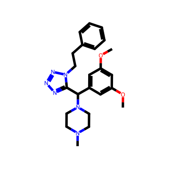 COc1cc(OC)cc(C(c2nnnn2CCc2ccccc2)N2CCN(C)CC2)c1